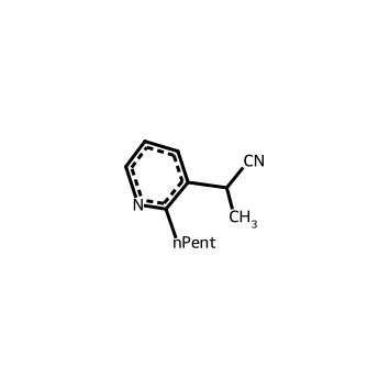 CCCCCc1ncccc1C(C)C#N